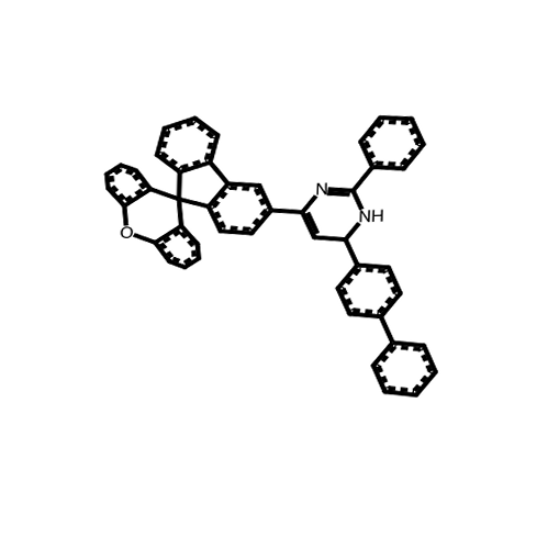 C1=C(c2ccc3c(c2)-c2ccccc2C32c3ccccc3Oc3ccccc32)N=C(c2ccccc2)NC1c1ccc(-c2ccccc2)cc1